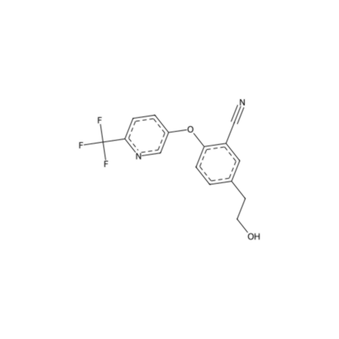 N#Cc1cc(CCO)ccc1Oc1ccc(C(F)(F)F)nc1